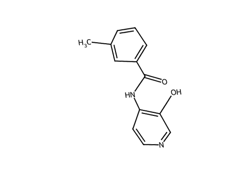 Cc1cccc(C(=O)Nc2ccncc2O)c1